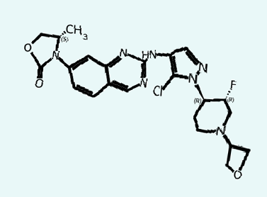 C[C@H]1COC(=O)N1c1ccc2cnc(Nc3cnn([C@@H]4CCN(C5COC5)C[C@H]4F)c3Cl)nc2c1